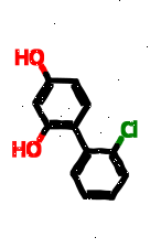 Oc1ccc(-c2ccccc2Cl)c(O)c1